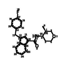 C[C@H]1COCC[C@H]1NC(=O)c1cn(Cc2ccc(F)cc2)c2cccnc12